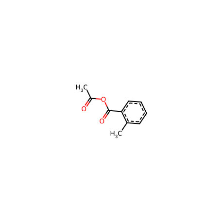 CC(=O)OC(=O)c1ccccc1C